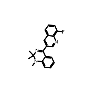 CN1c2ccccc2C(c2cnc3c(F)cccc3c2)=NC1(C)C